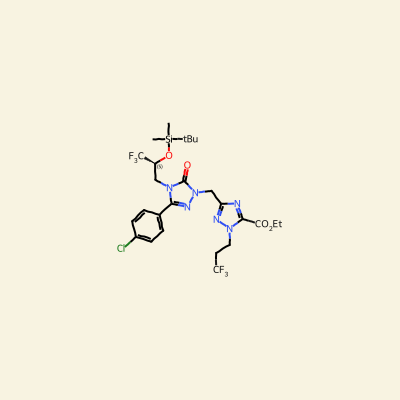 CCOC(=O)c1nc(Cn2nc(-c3ccc(Cl)cc3)n(C[C@H](O[Si](C)(C)C(C)(C)C)C(F)(F)F)c2=O)nn1CCC(F)(F)F